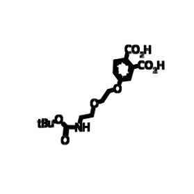 CC(C)(C)OC(=O)NCCOCCOc1ccc(C(=O)O)c(C(=O)O)c1